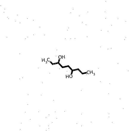 CCCC(O)CCC(O)CC